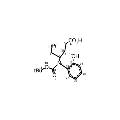 CC(C)CC([C@@H](O)CC(=O)O)N(C(=O)OC(C)(C)C)c1ccccc1